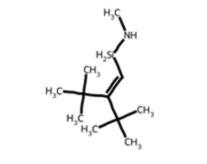 CN[SiH2]C=C(C(C)(C)C)C(C)(C)C